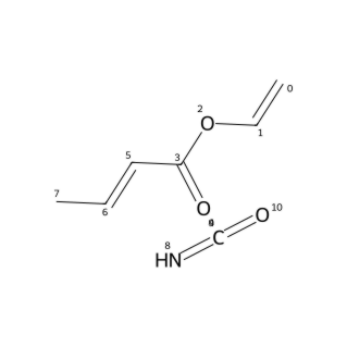 C=COC(=O)C=CC.N=C=O